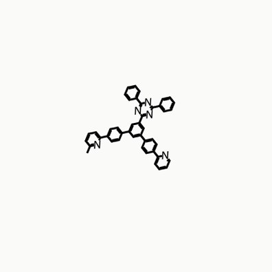 Cc1cccc(-c2ccc(-c3cc(-c4ccc(-c5ccccn5)cc4)cc(-c4nc(-c5ccccc5)nc(-c5ccccc5)n4)c3)cc2)n1